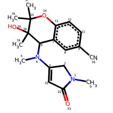 CN1CC(N(C)C2c3cc(C#N)ccc3OC(C)(C)C2(C)O)=CC1=O